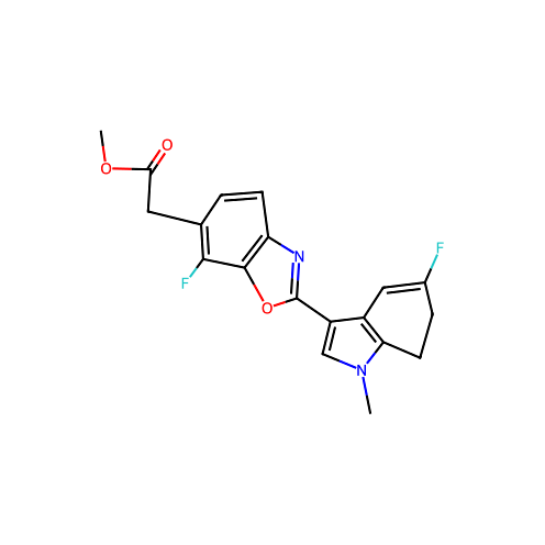 COC(=O)Cc1ccc2nc(-c3cn(C)c4c3C=C(F)CC4)oc2c1F